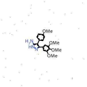 COc1ccc(-c2c(-c3cc(OC)c(OC)c(OC)c3)n[nH]c2N)cc1